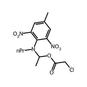 CCCN(c1c([N+](=O)[O-])cc(C)cc1[N+](=O)[O-])C(C)OC(=O)CCl